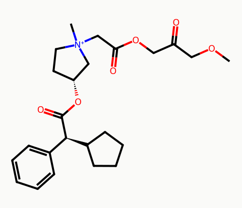 COCC(=O)COC(=O)C[N+]1(C)CC[C@@H](OC(=O)[C@H](c2ccccc2)C2CCCC2)C1